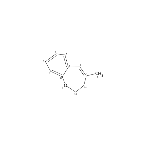 CC1=Cc2ccccc2OCC1